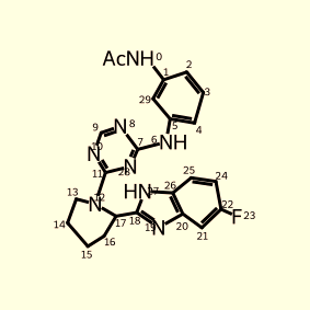 CC(=O)Nc1cccc(Nc2ncnc(N3CCCCC3c3nc4cc(F)ccc4[nH]3)n2)c1